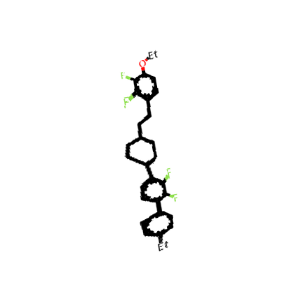 CCOc1ccc(CCC2CCC(c3ccc(-c4ccc(CC)cc4)c(F)c3F)CC2)c(F)c1F